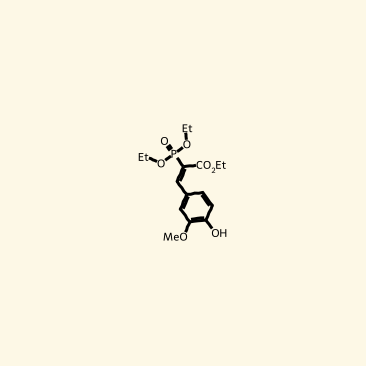 CCOC(=O)/C(=C\c1ccc(O)c(OC)c1)P(=O)(OCC)OCC